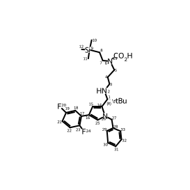 CC(C)(C)[C@@H](NCCCN(CC[Si](C)(C)C)C(=O)O)c1cc(-c2cc(F)ccc2F)cn1Cc1ccccc1